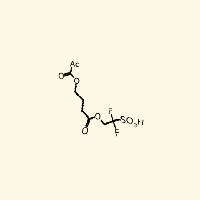 CC(=O)C(=O)OCCCC(=O)OCC(F)(F)S(=O)(=O)O